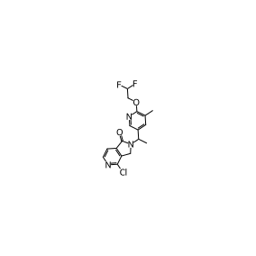 Cc1cc(C(C)N2Cc3c(ccnc3Cl)C2=O)cnc1OCC(F)F